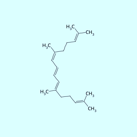 CC(C)=CCCC(C)=CC=CC=C(C)CCC=C(C)C